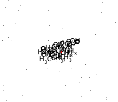 CC[C@H](C)[C@@H]([C@@H](CC(=O)N1CCCC1[C@H](OC)[C@@H](C)C(=O)NC(Cc1ccccc1)C(=O)O)OC)N(C)C(=O)C(NC(=O)[C@@H]1[C@H]2CC[C@H](C2)N1C)C(C)C